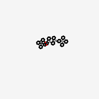 c1ccc([Si](c2ccccc2)(c2ccccc2)c2ccc(-n3c4ccccc4c4c(-n5c6ccccc6c6c(-c7cccc8c7[Si](c7ccccc7)(c7ccccc7)c7ccccc7-8)cccc65)cccc43)cc2)cc1